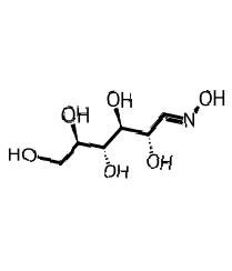 OC[C@@H](O)[C@@H](O)[C@@H](O)[C@@H](O)/C=N/O